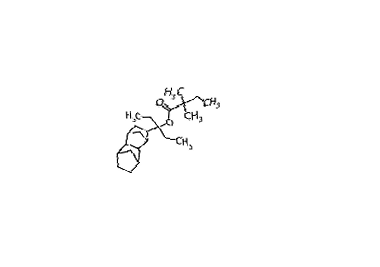 CCC(C)(C)C(=O)OC(CC)(CC)C1CC2CC1C1C3CCC(C3)C21